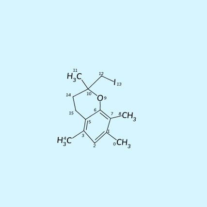 Cc1cc(C)c2c(c1C)OC(C)(CI)CC2